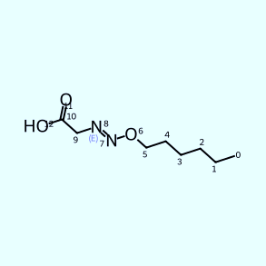 CCCCCCO/N=N/CC(=O)O